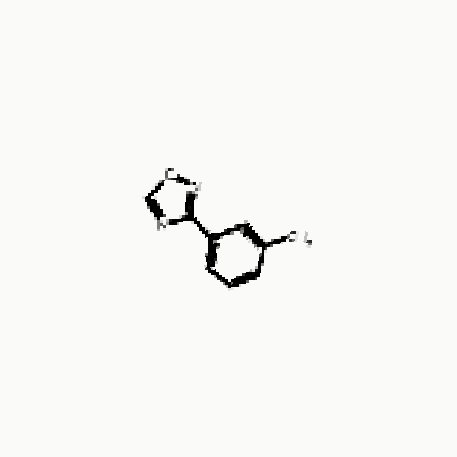 Cc1cccc(-c2n[c]on2)c1